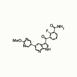 COc1ncc(-c2cnc3[nH]cc(C(=O)c4cccc(C(N)=O)c4F)c3c2)cn1